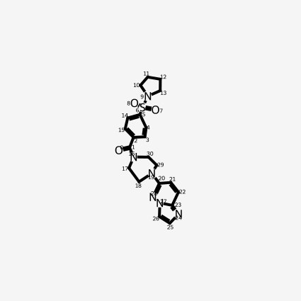 O=C(c1ccc(S(=O)(=O)N2CCCC2)cc1)N1CCN(c2ccc3nccn3n2)CC1